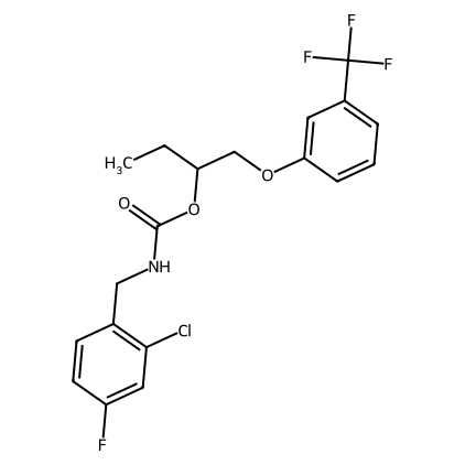 CCC(COc1cccc(C(F)(F)F)c1)OC(=O)NCc1ccc(F)cc1Cl